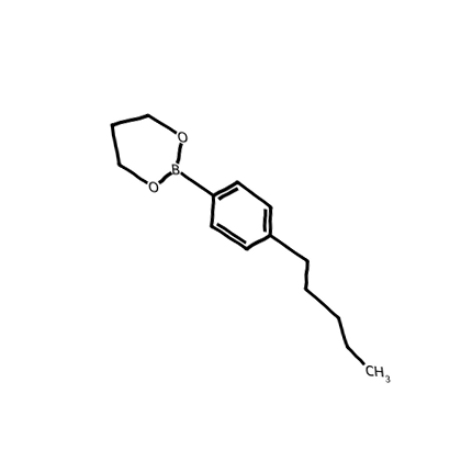 CCCCCc1ccc(B2OCCCO2)cc1